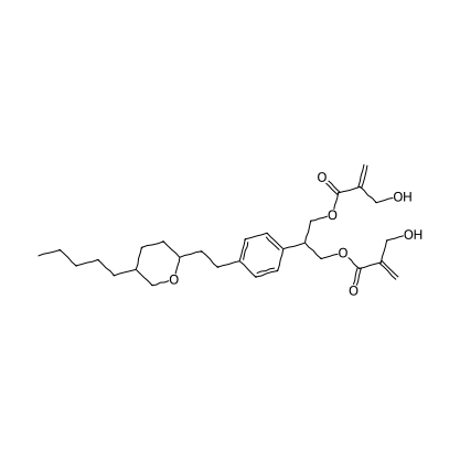 C=C(CO)C(=O)OCC(COC(=O)C(=C)CO)c1ccc(CCC2CCC(CCCCC)CO2)cc1